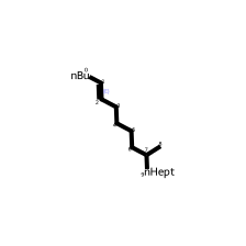 [CH2]CCC/C=C/CCCCC(C)CCCCCC[CH2]